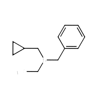 CCN(Cc1ccccc1)CC1CC1